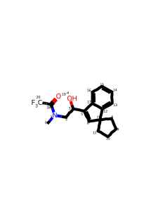 CN(CC(O)C1=CC2(CCCC2)c2ccccc21)C(=O)C(F)(F)F